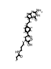 CCC(=O)NCCCC[C@H](CC(=O)c1ccc(CCC2=CN=C3N=C(N)NC(=O)C23)cc1)C(=O)O